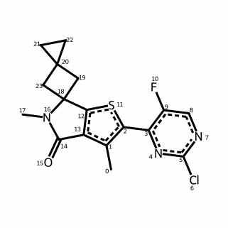 Cc1c(-c2nc(Cl)ncc2F)sc2c1C(=O)N(C)C21CC2(CC2)C1